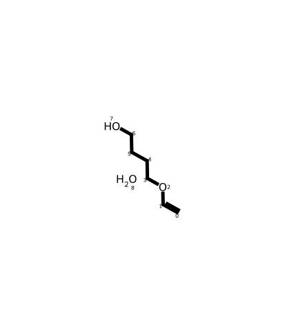 C=COCCCCO.O